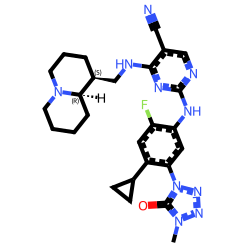 Cn1nnn(-c2cc(Nc3ncc(C#N)c(NC[C@@H]4CCCN5CCCC[C@H]45)n3)c(F)cc2C2CC2)c1=O